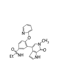 CCS(=N)(=O)c1ccc(Oc2ccccn2)c(-c2cn(C)c(=O)c3[nH]ccc23)c1